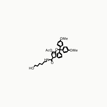 COc1ccc(C(OC2C3CC(C(=O)NCCCCCCO)C(O3)C2OC(C)=O)(c2ccccc2)c2ccc(OC)cc2)cc1